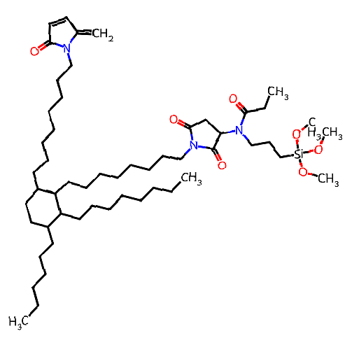 C=C1C=CC(=O)N1CCCCCCCCC1CCC(CCCCCC)C(CCCCCCCC)C1CCCCCCCCN1C(=O)CC(N(CCC[Si](OC)(OC)OC)C(=O)CC)C1=O